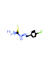 NC(=S)N/N=C/c1ccc(F)cc1